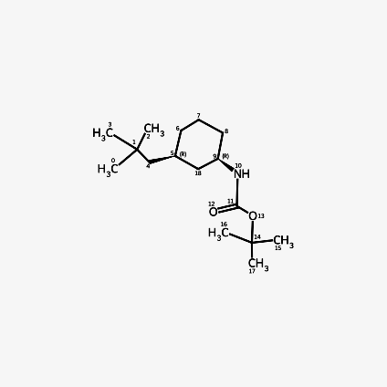 CC(C)(C)C[C@H]1CCC[C@@H](NC(=O)OC(C)(C)C)C1